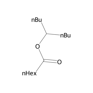 CCCCCCC(=O)OC(CCCC)CCCC